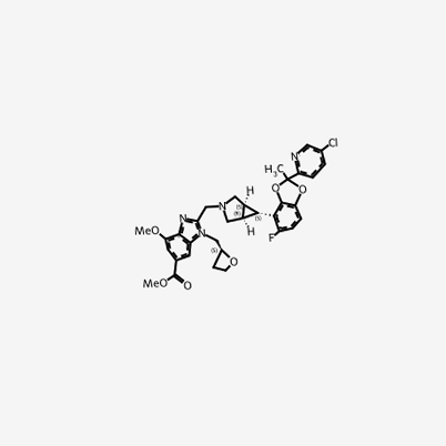 COC(=O)c1cc(OC)c2nc(CN3C[C@@H]4[C@H](C3)[C@H]4c3c(F)ccc4c3OC(C)(c3ccc(Cl)cn3)O4)n(C[C@@H]3CCO3)c2c1